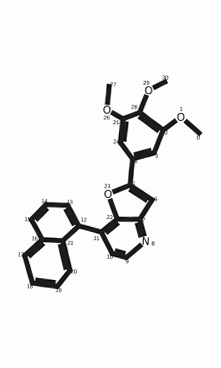 COc1cc(-c2cc3nccc(-c4cccc5ccccc45)c3o2)cc(OC)c1OC